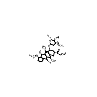 CN[C@H]1C[C@H](O[C@H]2C[C@H](C(=O)CO)Cc3c(O)c4c(c(O)c32)C(=O)c2c(OC)cccc2C4=O)O[C@@H](C)[C@H]1O